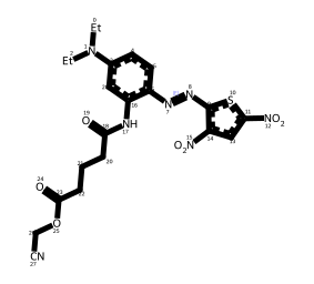 CCN(CC)c1ccc(/N=N/c2sc([N+](=O)[O-])cc2[N+](=O)[O-])c(NC(=O)CCCC(=O)OCC#N)c1